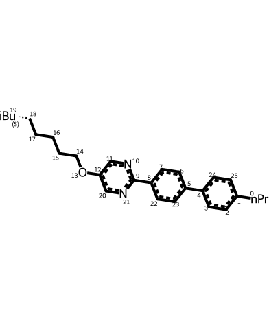 CCCc1ccc(-c2ccc(-c3ncc(OCCCCC[C@@H](C)CC)cn3)cc2)cc1